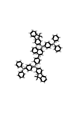 CC1(C)c2ccccc2-c2ccc(N(c3ccc(-c4ccc(N(c5ccc(N(c6ccccc6)c6ccccc6)cc5)c5ccc6c(c5)C(C)(C)c5ccccc5-6)c5ccccc45)cc3)c3ccc(N(c4ccccc4)c4ccccc4)cc3)cc21